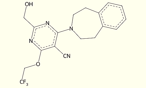 N#Cc1c(OCC(F)(F)F)nc(CO)nc1N1CCc2ccccc2CC1